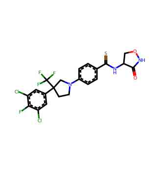 O=C1NOCC1NC(=S)c1ccc(N2CCC(c3cc(Cl)c(F)c(Cl)c3)(C(F)(F)F)C2)cc1